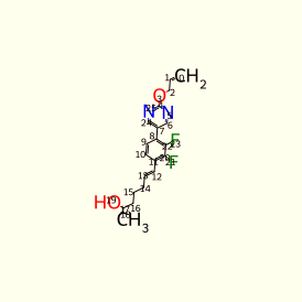 C=CCOc1ncc(-c2ccc(C=CCCCC(C)O)c(F)c2F)cn1